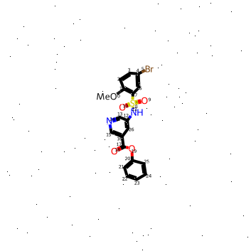 COc1ccc(Br)cc1S(=O)(=O)Nc1cncc(C(=O)Oc2ccccc2)c1